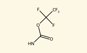 [NH]C(=O)OC(F)(F)C(F)(F)F